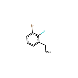 CNCc1cccc(Br)c1F